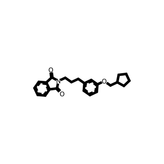 O=C1c2ccccc2C(=O)N1CCCc1cccc(OCC2CCCC2)c1